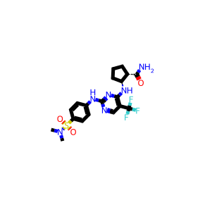 CN(C)S(=O)(=O)c1ccc(Nc2ncc(C(F)(F)F)c(N[C@@H]3CCC[C@@H]3C(N)=O)n2)cc1